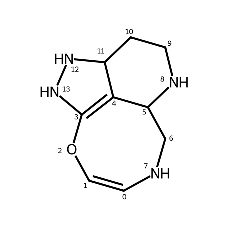 C1=COC2=C3C(CN1)NCCC3NN2